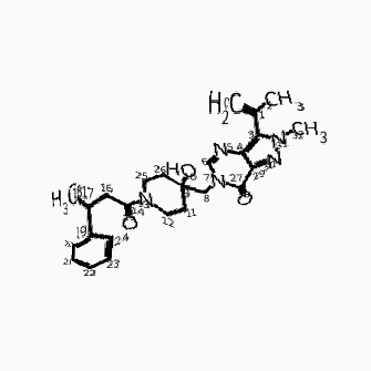 C=C(C)c1c2ncn(CC3(O)CCN(C(=O)CC(C)c4ccccc4)CC3)c(=O)c2nn1C